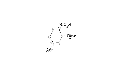 COC1CN(C(C)=O)CCC1C(=O)O